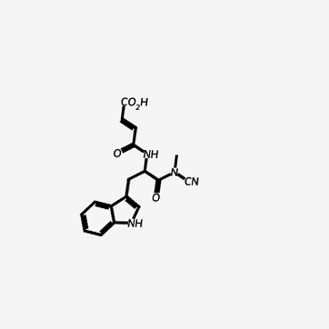 CN(C#N)C(=O)C(Cc1c[nH]c2ccccc12)NC(=O)C=CC(=O)O